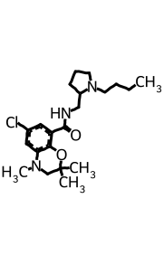 CCCCN1CCCC1CNC(=O)c1cc(Cl)cc2c1OC(C)(C)CN2C